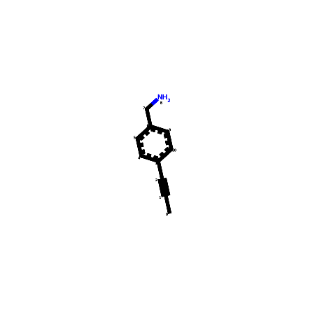 CC#Cc1ccc(CN)cc1